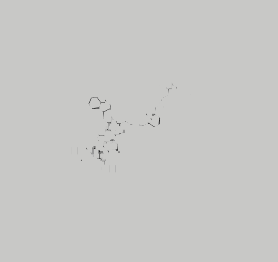 CC[C@H](C)[C@H](NC(=O)[C@H](CC(C)C)NC(=O)[C@H](Cc1c[nH]c2ccccc12)NC(=O)CCSCc1cccc(CSCCC(N)=O)n1)C(N)=O